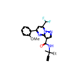 C#CC(C)(CC)NC(=O)c1cnn2c(C(F)F)cc(-c3ccccc3OC)nc12